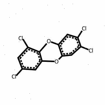 Clc1cc(Cl)c2c(c1)Oc1cc(Cl)c(Cl)cc1O2